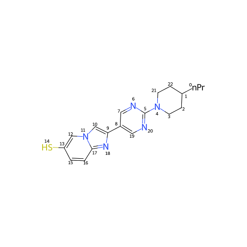 CCCC1CCN(c2ncc(-c3cn4cc(S)ccc4n3)cn2)CC1